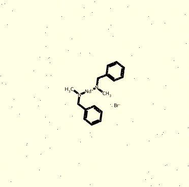 C[N](Cc1ccccc1)[Nd+][N](C)Cc1ccccc1.[Br-]